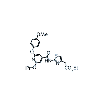 CCOC(=O)Cc1csc(NC(=O)c2cc(Oc3ccc(OC)cc3)nc(OC(C)C)c2)n1